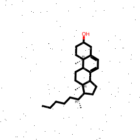 CCCCC[C@@H](C)C1CCC2C3=CC=C4CC(O)CC[C@]4(C)C3CC[C@@]21C